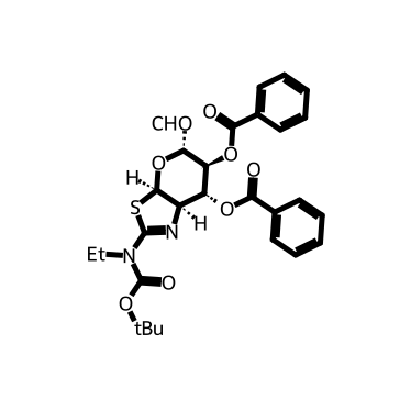 CCN(C(=O)OC(C)(C)C)C1=N[C@@H]2[C@@H](OC(=O)c3ccccc3)[C@H](OC(=O)c3ccccc3)[C@@H](C=O)O[C@@H]2S1